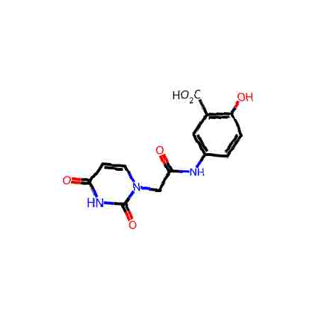 O=C(Cn1ccc(=O)[nH]c1=O)Nc1ccc(O)c(C(=O)O)c1